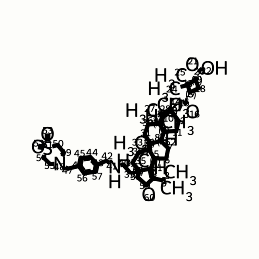 CC(C)C1=C2[C@H]3CC[C@@H]4[C@@]5(C)CC[C@H](OC(=O)[C@H]6C[C@@H](C(=O)O)C6(C)C)C(C)(C)[C@@H]5CC[C@@]4(C)[C@]3(C)CC[C@@]2(CCNCc2ccc(CN3CCS(=O)(=O)CC3)cc2)CC1=O